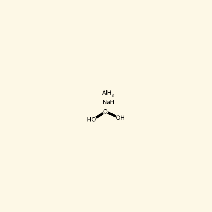 OOO.[AlH3].[NaH]